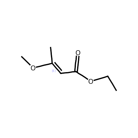 CCOC(=O)/C=C(\C)OC